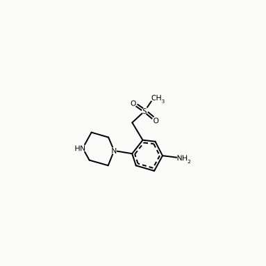 CS(=O)(=O)Cc1cc(N)ccc1N1CCNCC1